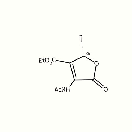 CCOC(=O)C1=C(NC(C)=O)C(=O)O[C@H]1C